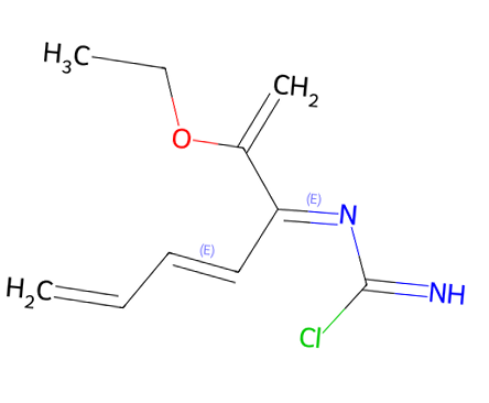 C=C/C=C/C(=N\C(=N)Cl)C(=C)OCC